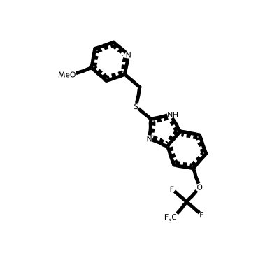 COc1ccnc(CSc2nc3cc(OC(F)(F)C(F)(F)F)ccc3[nH]2)c1